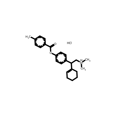 Cc1ccc(C(=O)Oc2ccc(C([CH2][SnH]([CH3])[CH3])C3=CCCCC3)cc2)cc1.Cl